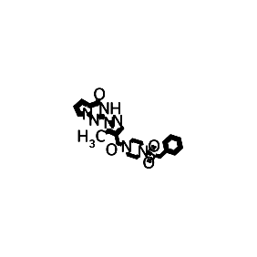 Cc1c(C(=O)N2CCN(S(=O)(=O)Cc3ccccc3)CC2)cnn1-c1nn2cccc2c(=O)[nH]1